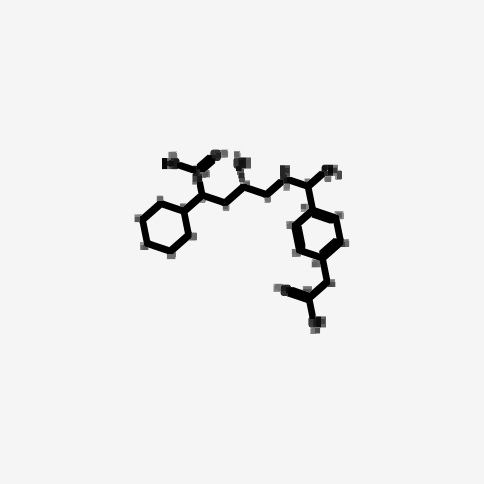 CC(NC[C@@H](O)CC(C1CCCCC1)[PH](=O)O)c1ccc(CC(=O)O)cc1